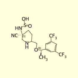 C[C@@H](OCC1CC[C@](C#N)(NS(=O)O)CN1)c1cc(C(F)(F)F)cc(C(F)(F)F)c1